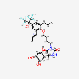 C/C=C/c1cc(C(O)(C(F)(F)F)C(F)(F)F)cc(CCC)c1OCCCCN1C(=O)NC(C)(c2ccc(O)c(O)c2)C1=O